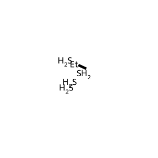 CCC.S.S.S.S